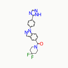 O=C(c1ccc2c(cnn2-c2ccc(-c3ncn[nH]3)cc2)c1)N1CCC(F)(F)CC1